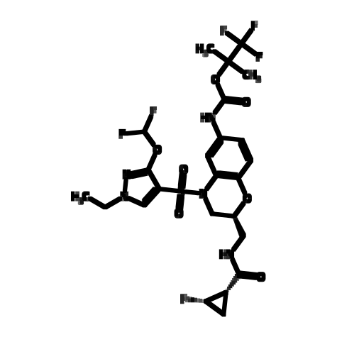 CCn1cc(S(=O)(=O)N2C[C@H](CNC(=O)[C@@H]3C[C@@H]3F)Oc3ccc(NC(=O)OC(C)(C)C(F)(F)F)cc32)c(OC(F)F)n1